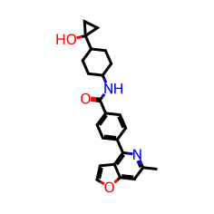 Cc1cc2occc2c(-c2ccc(C(=O)NC3CCC(C4(O)CC4)CC3)cc2)n1